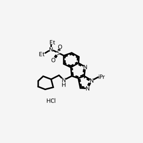 CCN(CC)S(=O)(=O)c1ccc2nc3c(cnn3C(C)C)c(NCC3CCCCC3)c2c1.Cl